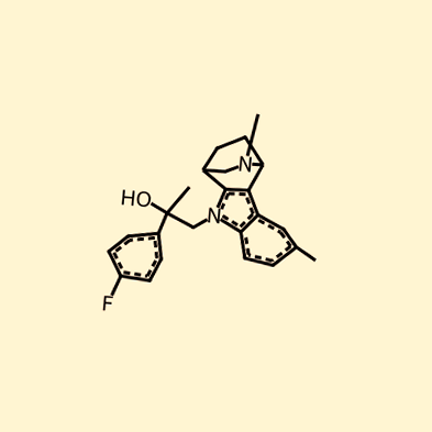 Cc1ccc2c(c1)c1c(n2CC(C)(O)c2ccc(F)cc2)C2CCC1N(C)C2